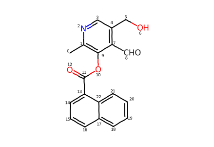 Cc1ncc(CO)c(C=O)c1OC(=O)c1cccc2ccccc12